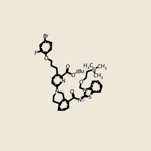 CC(C)(C)OC(=O)c1nc(N2CCc3cccc(C(=O)/N=c4/sc5ccccc5n4COCC[Si](C)(C)C)c3C2)ccc1CCCOc1ccc(Br)cc1F